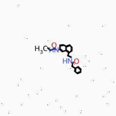 CCCC(=O)Nc1ccc2cccc(CCNC(=O)Cc3ccccc3)c2c1